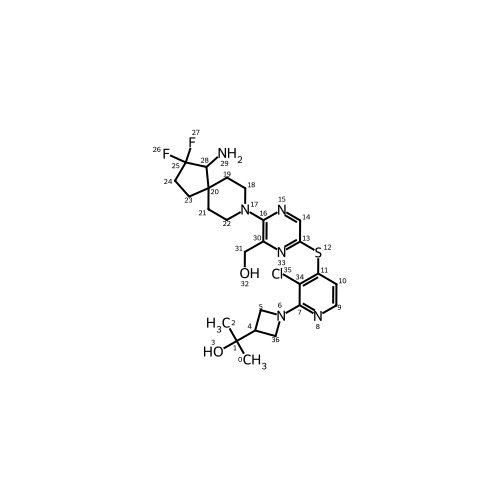 CC(C)(O)C1CN(c2nccc(Sc3cnc(N4CCC5(CC4)CCC(F)(F)C5N)c(CO)n3)c2Cl)C1